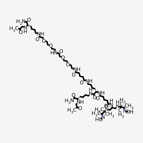 CC(=O)CN[C@@H](CCCCNC(=O)COCCOCCNC(=O)COCCOCCNC(=O)CCCC(=O)NCCCC[C@H](NC(=O)CCCC(=O)NC(CNC(C)(C)/C(C)=N/O)CNC(C)(C)/C(C)=N/O)C(=O)NCCCC[C@H](NCC(C)=O)C(N)=O)C(N)=O